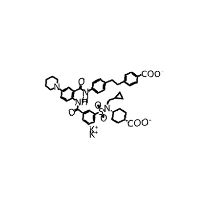 O=C([O-])c1ccc(CCc2ccc(NC(=O)c3cc(N4CCCCC4)ccc3NC(=O)c3cccc(S(=O)(=O)N(CC4CC4)[C@H]4CC[C@H](C(=O)[O-])CC4)c3)cc2)cc1.[K+].[K+]